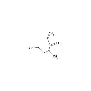 C=CC(=C)N(C)CCC(C)C